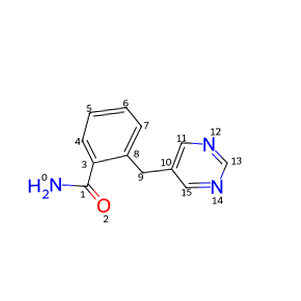 NC(=O)c1ccccc1Cc1cncnc1